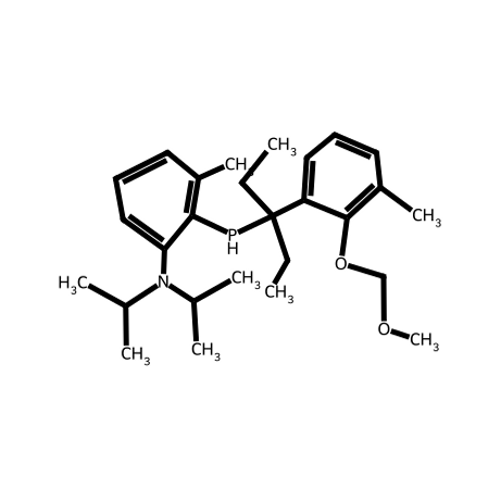 CCC(CC)(Pc1c(C)cccc1N(C(C)C)C(C)C)c1cccc(C)c1OCOC